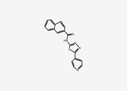 O=C(Nc1nnc(-c2ccncc2)s1)c1ccc2ccccc2c1